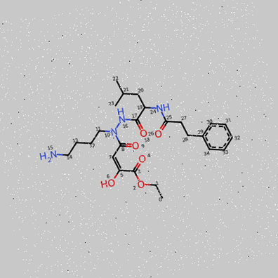 CCOC(=O)/C(O)=C\C(=O)N(CCCCN)NC(=O)C(CC(C)C)NC(=O)CCc1ccccc1